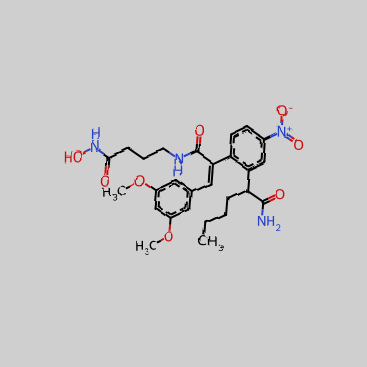 CCCCC(C(N)=O)c1cc([N+](=O)[O-])ccc1/C(=C/c1cc(OC)cc(OC)c1)C(=O)NCCCC(=O)NO